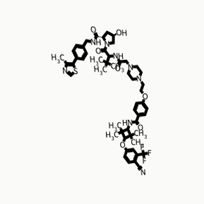 Cc1ncsc1-c1ccc(CNC(=O)[C@@H]2C[C@@H](O)CN2C(=O)C(NC(=O)CN2CCN(CCOc3ccc(C(=O)NC4C(C)(C)C(Oc5ccc(C#N)c(C(F)(F)F)c5)C4(C)C)cc3)CC2)C(C)(C)C)cc1